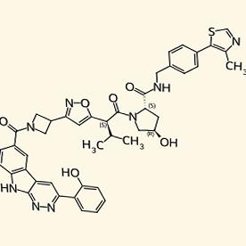 Cc1ncsc1-c1ccc(CNC(=O)[C@@H]2C[C@@H](O)CN2C(=O)[C@H](c2cc(C3CN(C(=O)c4ccc5[nH]c6nnc(-c7ccccc7O)cc6c5c4)C3)no2)C(C)C)cc1